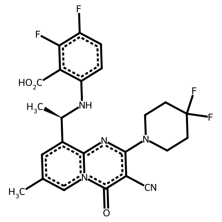 Cc1cc([C@@H](C)Nc2ccc(F)c(F)c2C(=O)O)c2nc(N3CCC(F)(F)CC3)c(C#N)c(=O)n2c1